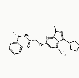 C[C@H](NC(=O)COc1cc(C(F)(F)F)c2c(C3CCCC3)nn(C)c2n1)c1ccccc1